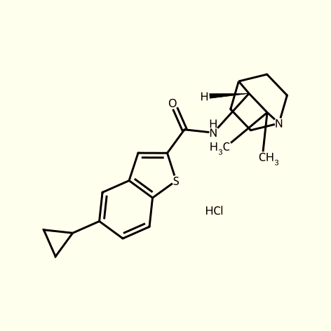 CC1(C)[C@H](NC(=O)c2cc3cc(C4CC4)ccc3s2)C2CCN1CC2.Cl